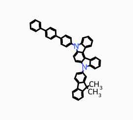 CC1(C)c2ccccc2-c2ccc(-n3c4ccccc4c4c5c6ccccc6n(-c6ccc(-c7ccc(-c8ccccc8)cc7)cc6)c5ccc43)cc21